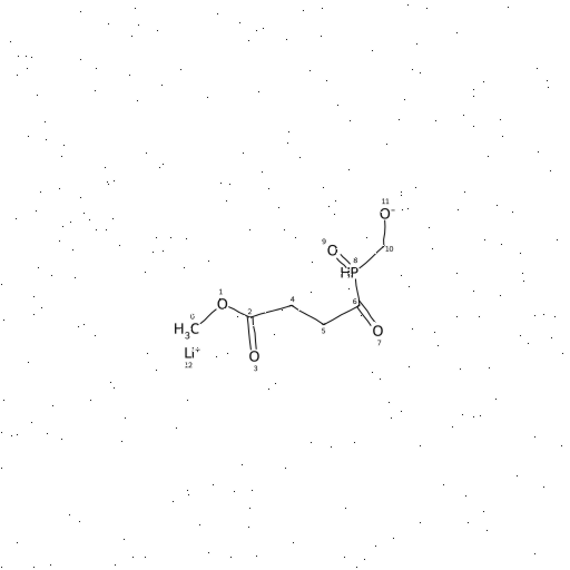 COC(=O)CCC(=O)[PH](=O)C[O-].[Li+]